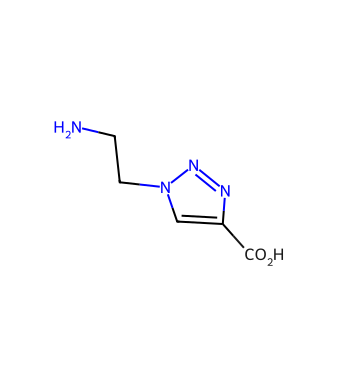 NCCn1cc(C(=O)O)nn1